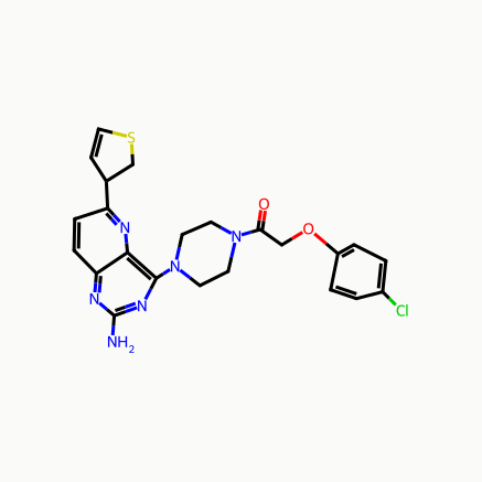 Nc1nc(N2CCN(C(=O)COc3ccc(Cl)cc3)CC2)c2nc(C3C=CSC3)ccc2n1